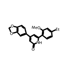 CCc1ccc(-c2cc(-c3ccc4c(c3)OCO4)cc(=O)[nH]2)c(OC)c1